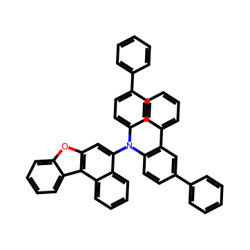 c1ccc(-c2ccc(N(c3ccc(-c4ccccc4)cc3-c3ccccc3)c3cc4oc5ccccc5c4c4ccccc34)cc2)cc1